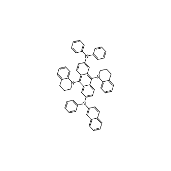 c1ccc(N(c2ccccc2)c2ccc3c(N4CCCc5ccccc54)c4cc(N(c5ccccc5)c5ccc6ccccc6c5)ccc4c(N4CCCc5ccccc54)c3c2)cc1